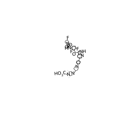 C[C@@H]1CN(CC2CCN(c3ccc(-c4cnc5[nH]cc(C(=O)c6c(F)ccc(NS(=O)(=O)N7CC[C@@H](F)C7)c6F)c5c4)cc3)CC2)C[C@H](C)N1CC(=O)O